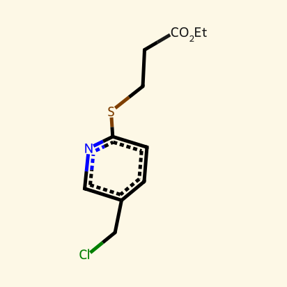 CCOC(=O)CCSc1ccc(CCl)cn1